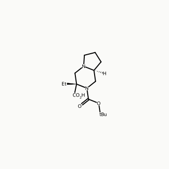 CC[C@@]1(C(=O)O)CN2CCC[C@H]2CN1C(=O)OC(C)(C)C